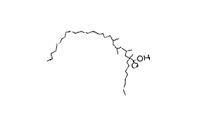 CCCCCCCC/C=C\CCCCCCCCC(C)CC(C)CC(C)CC(C)(CCCCCCCC)C(=O)O